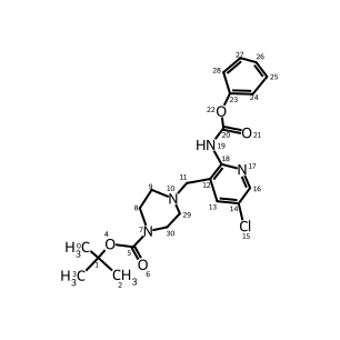 CC(C)(C)OC(=O)N1CCN(Cc2cc(Cl)cnc2NC(=O)Oc2ccccc2)CC1